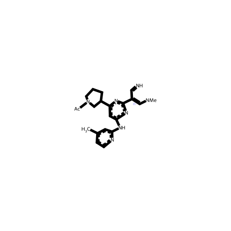 CN/C=C(\C=N)c1nc(Nc2cc(C)ccn2)cc(C2CCCN(C(C)=O)C2)n1